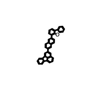 c1ccc2c(c1)-c1cccc3cc(-c4ccc5cc(-c6cccc7c6oc6ccccc67)ccc5c4)cc-2c13